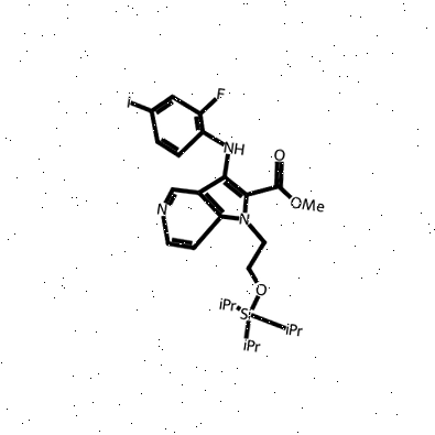 COC(=O)c1c(Nc2ccc(I)cc2F)c2cnccc2n1CCO[Si](C(C)C)(C(C)C)C(C)C